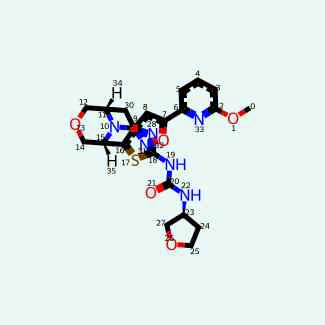 COc1cccc(-c2cc(N3[C@@H]4COC[C@H]3c3sc(NC(=O)N[C@H]5CCOC5)nc3C4)no2)n1